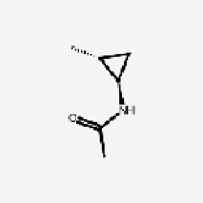 CC(=O)N[C@@H]1C[C@H]1C